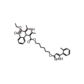 CCOC(=O)C1=C(C)NC(C)=C(C(=O)OCCCCCCOc2cc(-c3ccccc3C)[nH]n2)C1c1ccccc1[N+](=O)[O-]